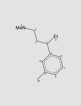 CCC(CCNC)c1cccc(C)c1